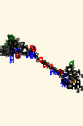 COc1cc(C(=O)NCCOCCOCCOCCNC(=O)C[C@@H]2N=C(c3ccc(Cl)cc3)c3c(sc(C)c3C)-n3c(C)nnc32)ccc1NC(=O)[C@@H]1N[C@@H](CC(C)(C)C)[C@](C#N)(c2ccc(Cl)cc2F)[C@H]1c1cccc(Cl)c1F